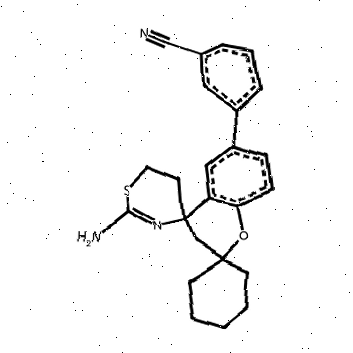 N#Cc1cccc(-c2ccc3c(c2)C2(CCSC(N)=N2)CC2(CCCCC2)O3)c1